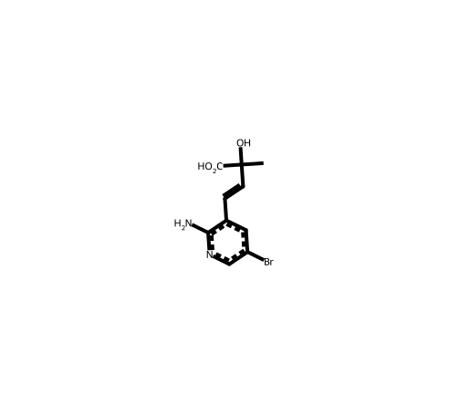 CC(O)(/C=C/c1cc(Br)cnc1N)C(=O)O